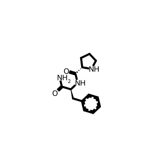 NC(=O)[C@H](Cc1ccccc1)NC(=O)[C@@H]1CCCN1